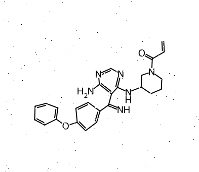 C=CC(=O)N1CCCC(Nc2ncnc(N)c2C(=N)c2ccc(Oc3ccccc3)cc2)C1